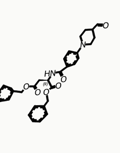 O=CC1CCN(c2ccc(C(=O)N[C@H](CC(=O)OCc3ccccc3)C(=O)OCc3ccccc3)cc2)CC1